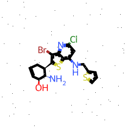 N[C@@H]1[C@@H](O)C=CC[C@H]1c1sc2c(NCc3cccs3)cc(Cl)nc2c1Br